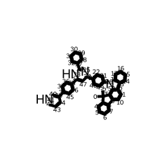 CC1(C)c2ccccc2-c2ccc3c4ccccc4n(-c4ccc(C5=NC(c6ccccc6)NC(c6ccc(C7=CNCC=C7)cc6)=C5)cc4)c3c21